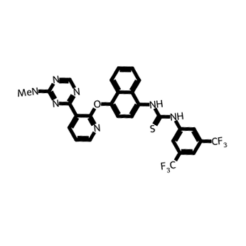 CNc1ncnc(-c2cccnc2Oc2ccc(NC(=S)Nc3cc(C(F)(F)F)cc(C(F)(F)F)c3)c3ccccc23)n1